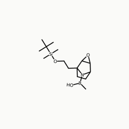 CB(O)N1C2CCC1(CCO[Si](C)(C)C(C)(C)C)C1OC21